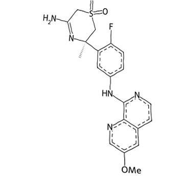 COc1cnc2c(Nc3ccc(F)c([C@]4(C)CS(=O)(=O)CC(N)=N4)c3)nccc2c1